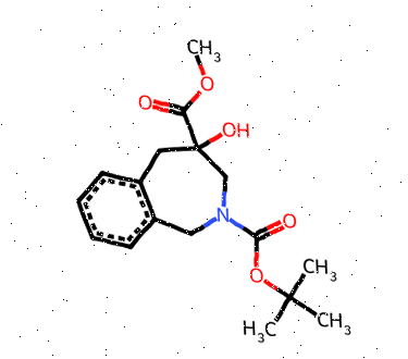 COC(=O)C1(O)Cc2ccccc2CN(C(=O)OC(C)(C)C)C1